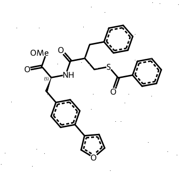 COC(=O)[C@H](Cc1ccc(-c2ccoc2)cc1)NC(=O)C(CSC(=O)c1ccccc1)Cc1ccccc1